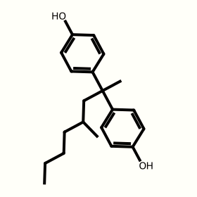 CCCCC(C)CC(C)(c1ccc(O)cc1)c1ccc(O)cc1